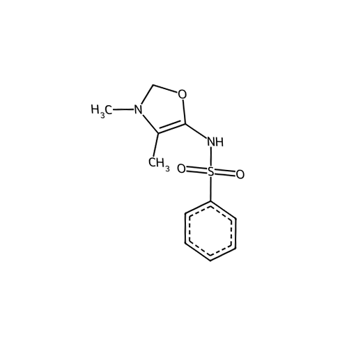 CC1=C(NS(=O)(=O)c2ccccc2)OCN1C